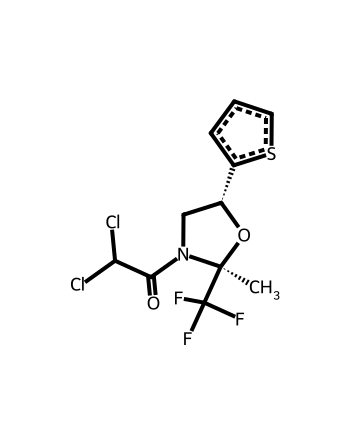 C[C@@]1(C(F)(F)F)O[C@@H](c2cccs2)CN1C(=O)C(Cl)Cl